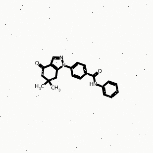 CC1(C)CC(=O)c2cnn(-c3ccc(C(=O)Nc4ccccc4)cc3)c2C1